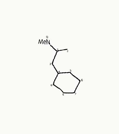 CNC(C)CC1CCCCC1